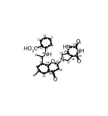 Cc1cc(C(C)Nc2ccccc2C(=O)O)c2oc(N3Cc4[nH]c(=O)[nH]c(=O)c4C3)cc(=O)c2c1